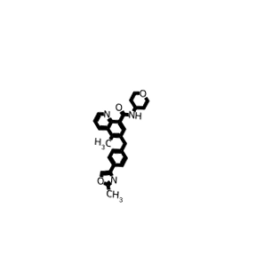 Cc1nc(-c2ccc(Cc3cc(C(=O)NC4CCOCC4)c4ncccc4c3C)cc2)co1